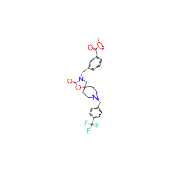 COC(=O)c1cccc(CN2CC3(CCN(Cc4ccc(C(F)(F)F)cc4)CC3)OC2=O)c1